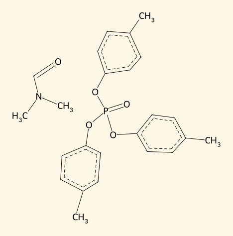 CN(C)C=O.Cc1ccc(OP(=O)(Oc2ccc(C)cc2)Oc2ccc(C)cc2)cc1